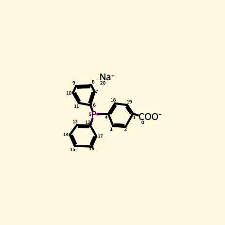 O=C([O-])c1ccc(P(c2ccccc2)c2ccccc2)cc1.[Na+]